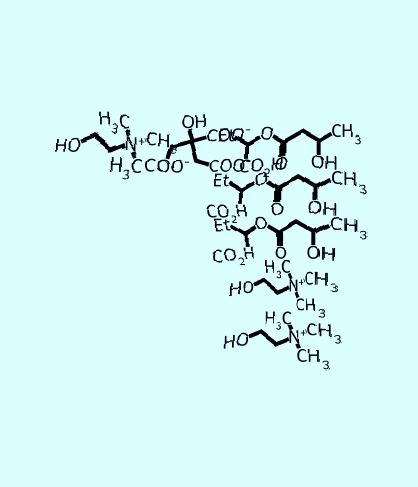 CCC(OC(=O)CC(C)O)C(=O)O.CCC(OC(=O)CC(C)O)C(=O)O.CCC(OC(=O)CC(C)O)C(=O)O.C[N+](C)(C)CCO.C[N+](C)(C)CCO.C[N+](C)(C)CCO.O=C([O-])CC(O)(CC(=O)[O-])C(=O)[O-]